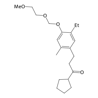 CCc1cc(CCC(=O)C2CCCC2)c(C)cc1OCOCCOC